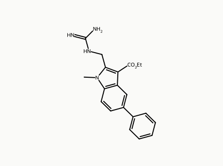 CCOC(=O)c1c(CNC(=N)N)n(C)c2ccc(-c3ccccc3)cc12